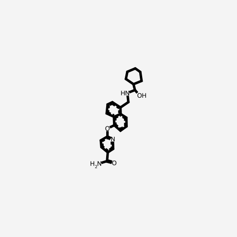 NC(=O)c1ccc(Oc2cccc3c(CNC(O)C4CCCCC4)cccc23)nc1